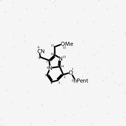 CCCCCOc1cccn2c(CC#N)c(COC)nc12